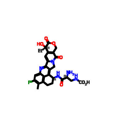 CC[C@@]1(O)C(=O)OCc2c1cc1n(c2=O)Cc2c-1nc1cc(F)c(C)c3c1c2[C@@H](NC(=O)[C@@H](N)CNC(=O)O)CC3